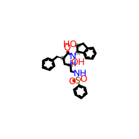 O=C(N[C@H]1c2ccccc2C[C@H]1O)[C@H](Cc1ccccc1)C[C@H](O)CNS(=O)(=O)c1ccccc1